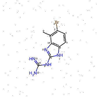 Cc1c(Br)ccc2[nH]c(NC(=N)N)nc12